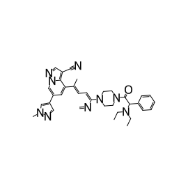 C=N/C(=C\C=C(/C)c1cc(-c2cnn(C)c2)cn2ncc(C#N)c12)N1CCN(C(=O)C(c2ccccc2)N(CC)CC)CC1